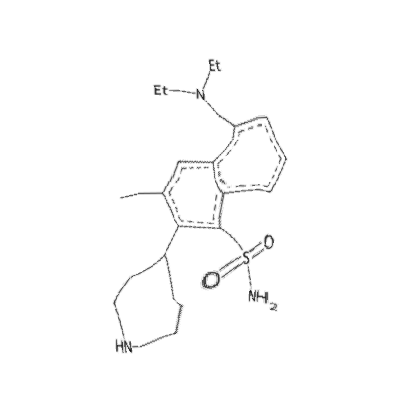 CCN(CC)c1cccc2c(S(N)(=O)=O)c(C3CCNCC3)c(C)cc12